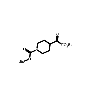 CCOC(=O)C(=O)C1CCN(C(=O)OC(C)(C)C)CC1